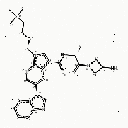 C[C@@H](NC(=O)c1cn(COCC[Si](C)(C)C)c2ncc(-c3cnc4ccccn34)nc12)C(=O)N1CC(N)C1